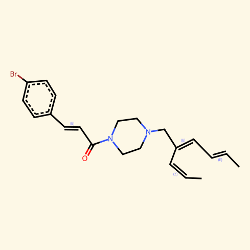 C\C=C/C(=C\C=C\C)CN1CCN(C(=O)/C=C/c2ccc(Br)cc2)CC1